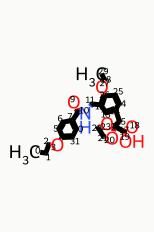 CCCOc1ccc(C(=O)NCc2cc(CC3(C(=O)O)OCCO3)ccc2OCC)cc1